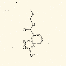 CCCOC(=O)c1cccc2c1no[n+]2[O-]